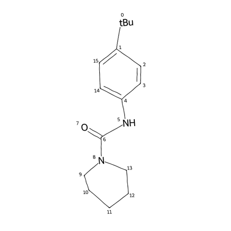 CC(C)(C)c1ccc(NC(=O)N2CCCCC2)cc1